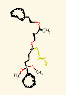 CO[Si](CCC[Si](OCCC(C)OCCc1ccccc1)SSSS)(OC)c1ccccc1